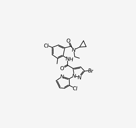 CCN(C(=O)c1cc(Cl)cc(C)c1NC(=O)c1cc(Br)nn1-c1ncccc1Cl)C1CC1